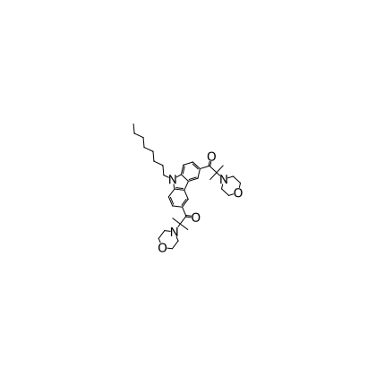 CCCCCCCCn1c2ccc(C(=O)C(C)(C)N3CCOCC3)cc2c2cc(C(=O)C(C)(C)N3CCOCC3)ccc21